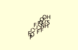 CC(F)(F)Oc1cccc(-c2c(F)c(F)c(NC(=O)C3=C(C(=O)O)CSC3)c(F)c2F)c1